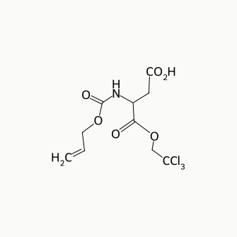 C=CCOC(=O)NC(CC(=O)O)C(=O)OCC(Cl)(Cl)Cl